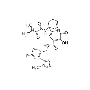 CN(C)C(=O)C(=O)NC12CCC(CC1)Cn1c2nc(C(=O)NCc2ccc(F)cc2-c2nncn2C)c(O)c1=O